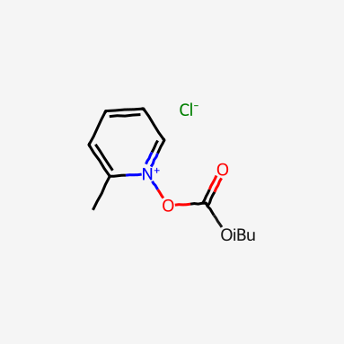 Cc1cccc[n+]1OC(=O)OCC(C)C.[Cl-]